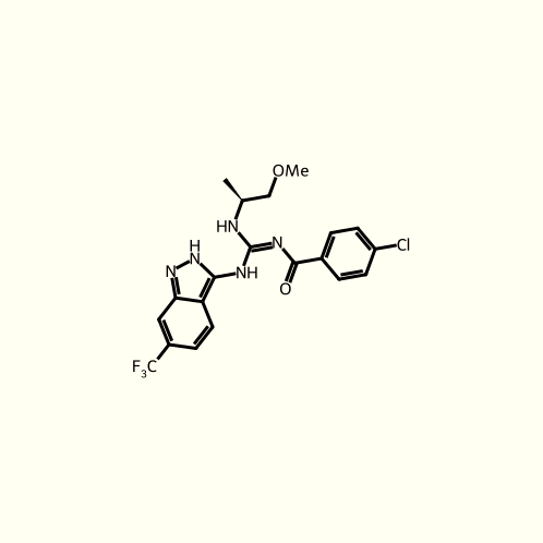 COC[C@H](C)N/C(=N/C(=O)c1ccc(Cl)cc1)Nc1[nH]nc2cc(C(F)(F)F)ccc12